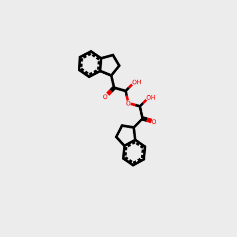 O=C(C(O)OC(O)C(=O)C1CCc2ccccc21)C1CCc2ccccc21